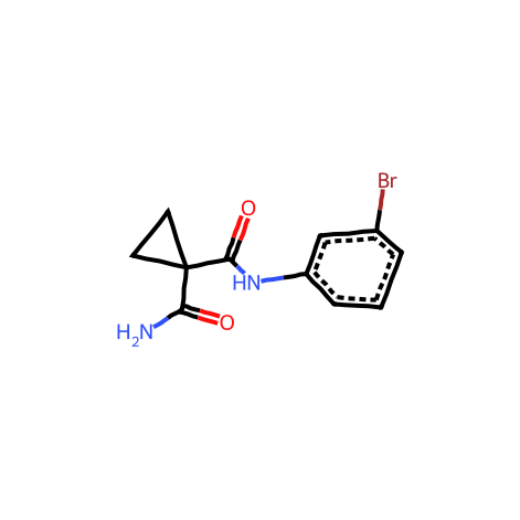 NC(=O)C1(C(=O)Nc2cccc(Br)c2)CC1